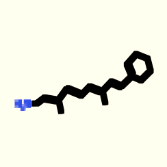 CC(/C=C/C1=CCCCC1)=C\C=C\C(C)=C\CN